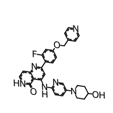 O=c1[nH]ccc2nc(-c3ccc(OCc4ccncc4)cc3F)cc(Nc3ccc(N4CCC(O)CC4)cn3)c12